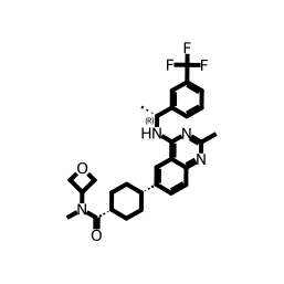 Cc1nc(N[C@H](C)c2cccc(C(F)(F)F)c2)c2cc([C@H]3CC[C@@H](C(=O)N(C)C4COC4)CC3)ccc2n1